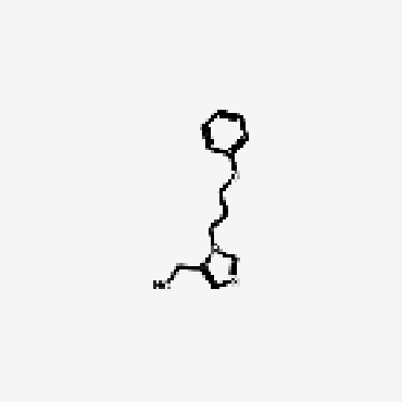 OCc1cncn1CCCOc1ccccc1